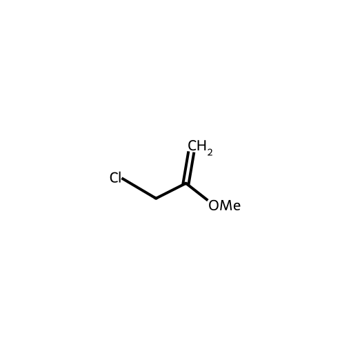 C=C(CCl)OC